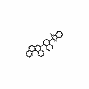 C=CC1=C(c2cc3ccc4ccccc4c3c3ccccc23)CCC(c2nc3ccccc3n2C)=C1C=C